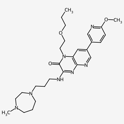 CCCOCCn1c(=O)c(NCCCN2CCCN(C)CC2)nc2ncc(-c3ccc(OC)nc3)cc21